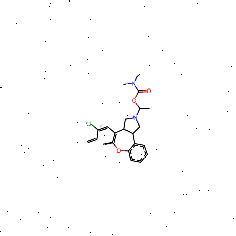 C=C/C(Cl)=C\C1=C(C)Oc2ccccc2C2CN(C(C)OC(=O)N(C)C)CC12